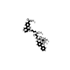 CN(CCCNc1nc2cc(C(N)=O)ccc2c2cnccc12)C(=O)CCN(Cc1ccc(-c2ccccc2)c(Cl)c1)C(=O)OC(C)(C)C